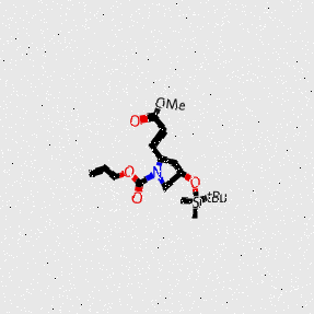 C=CCOC(=O)N1CC(O[Si](C)(C)C(C)(C)C)CC1C=CC(=O)OC